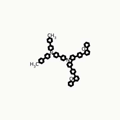 Cc1ccc(-c2ccc(N(c3ccc(-c4ccc(C)cc4)cc3)c3ccc(-c4ccc(-n5c6ccc(-c7ccc(-c8cccc9c8oc8ccccc89)cc7)cc6c6cc(-c7ccc(-c8cccc9c8oc8ccccc89)cc7)ccc65)cc4)cc3)cc2)cc1